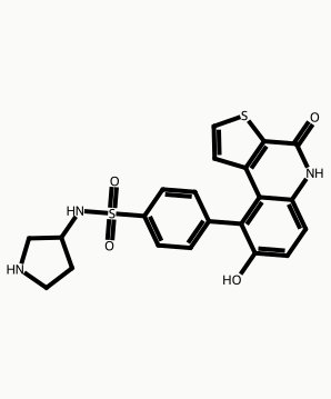 O=c1[nH]c2ccc(O)c(-c3ccc(S(=O)(=O)NC4CCNC4)cc3)c2c2ccsc12